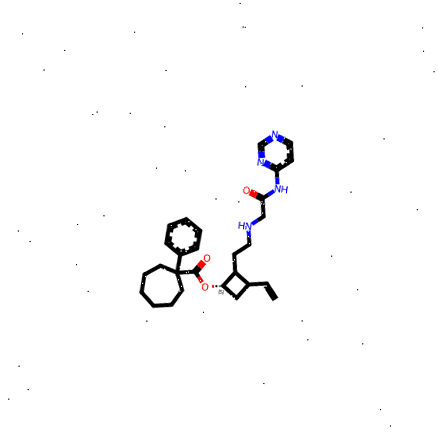 C=CC1C[C@H](OC(=O)C2(c3ccccc3)CCCCCC2)C1CCNCC(=O)Nc1ccncn1